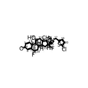 C[C@]12C=CC(=O)C=C1[C@@H](F)C[C@H]1[C@@H]3C[C@H]4CN(Cc5ccc(Cl)s5)O[C@@]4(C(=O)CF)[C@@]3(C)C[C@H](O)[C@@]12F